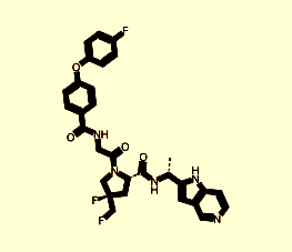 C[C@@H](NC(=O)[C@@H]1C[C@](F)(CF)CN1C(=O)CNC(=O)c1ccc(Oc2ccc(F)cc2)cc1)c1cc2cnccc2[nH]1